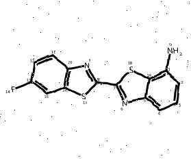 Nc1cccc2nc(-c3nc4ccc(F)cc4s3)sc12